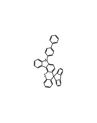 c1ccc(-c2ccc(-n3c4ccccc4c4c5c(ccc43)C3(c4ccccc4S5)c4ccccc4-c4ccccc43)cc2)cc1